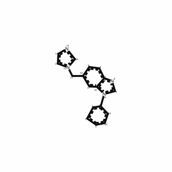 c1ccc(-n2cnc3ccc(Cn4ccnc4)cc32)cc1